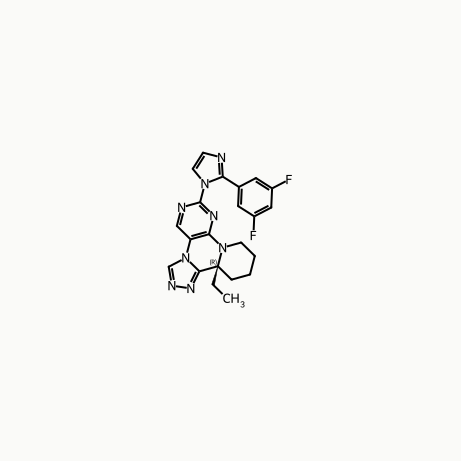 CC[C@]12CCCCN1c1nc(-n3ccnc3-c3cc(F)cc(F)c3)ncc1-n1cnnc12